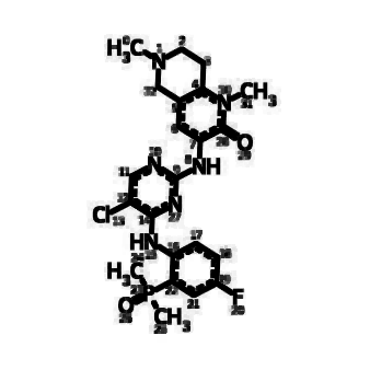 CN1CCc2c(cc(Nc3ncc(Cl)c(Nc4ccc(F)cc4P(C)(C)=O)n3)c(=O)n2C)C1